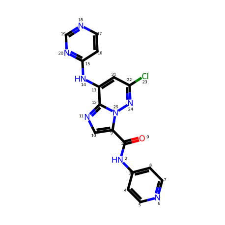 O=C(Nc1ccncc1)c1cnc2c(Nc3ccncn3)cc(Cl)nn12